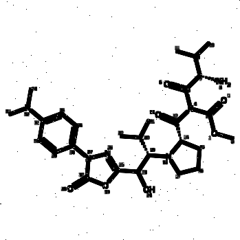 COC(=O)N(C(=O)[C@@H](N)C(C)C)C(=O)[C@@H]1CCCN1[C@@H](C(C)C)C(O)c1nn(-c2ccc(N(C)C)cc2)c(=O)o1